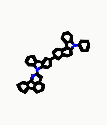 c1ccc(-n2c3ccccc3c3c4ccc(-c5ccc6c(c5)c5ccccc5n6-c5cc6cccc7c6c(n5)-c5ccccc5-7)cc4ccc32)cc1